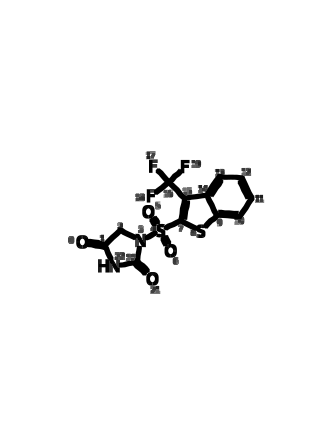 O=C1CN(S(=O)(=O)c2sc3ccccc3c2C(F)(F)F)C(=O)N1